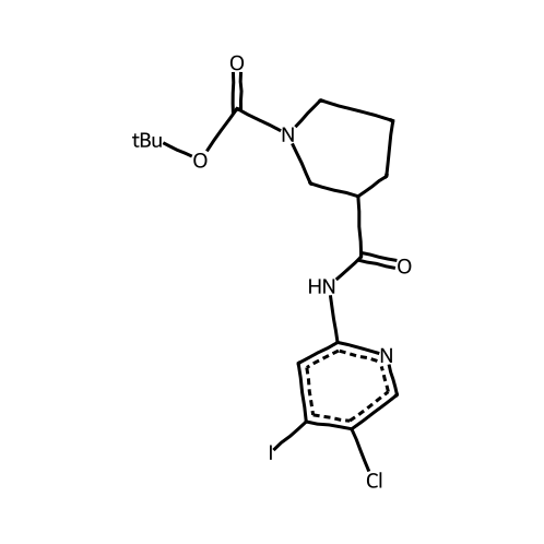 CC(C)(C)OC(=O)N1CCCC(C(=O)Nc2cc(I)c(Cl)cn2)C1